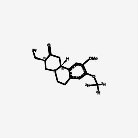 [2H]C([2H])([2H])Oc1cc2c(cc1OC)[C@@H]1CC(=O)[C@H](CC(C)C)CN1CC2